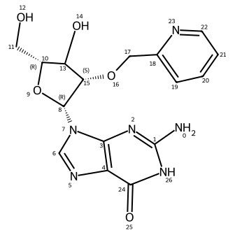 Nc1nc2c(ncn2[C@@H]2O[C@H](CO)C(O)[C@@H]2OCc2ccccn2)c(=O)[nH]1